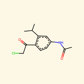 CC(=O)Nc1ccc(C(=O)CCl)c(C(C)C)c1